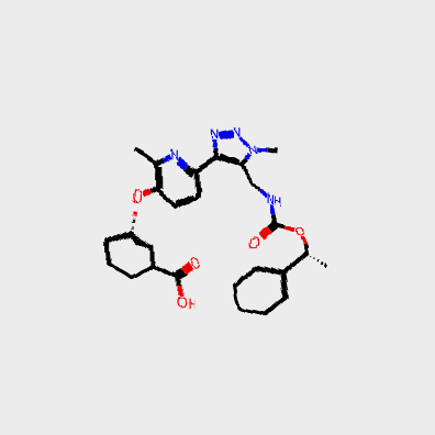 Cc1nc(-c2nnn(C)c2CNC(=O)O[C@H](C)C2CCCCC2)ccc1O[C@H]1CCCC(C(=O)O)C1